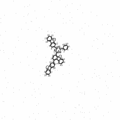 c1ccc(-c2nc(-c3ccc4c(c3)oc3ccccc34)nc(-c3ccc(-c4ccc5c(c4)oc4ccccc45)c4c3oc3ccccc34)n2)cc1